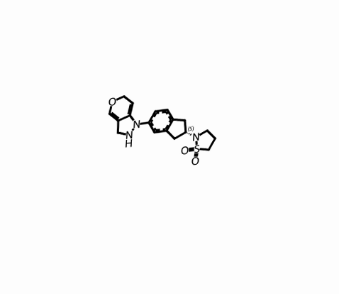 O=S1(=O)CCCN1[C@H]1Cc2ccc(N3NCC4=COCC=C43)cc2C1